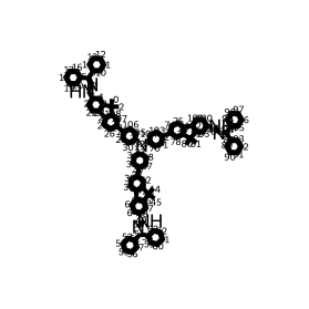 CC1(C)c2cc(NN=C(c3ccccc3)c3ccccc3)ccc2-c2ccc(-c3ccc(N(c4ccc(-c5ccc6c(c5)C(C)(C)c5cc(NN=C(c7ccccc7)c7ccccc7)ccc5-6)cc4)c4ccc(-c5ccc6c(c5)C(C)(C)c5cc(NN=C(c7ccccc7)c7ccccc7)ccc5-6)cc4)cc3)cc21